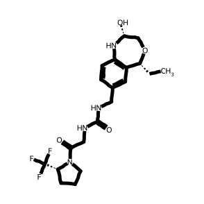 CC[C@H]1OC[C@@H](O)Nc2ccc(CNC(=O)NCC(=O)N3CCC[C@@H]3C(F)(F)F)cc21